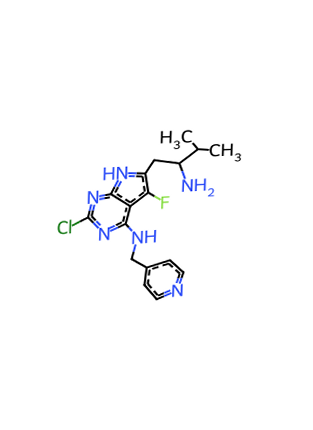 CC(C)C(N)Cc1[nH]c2nc(Cl)nc(NCc3ccncc3)c2c1F